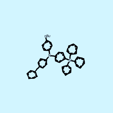 CCCCc1ccc(N(c2ccc(-c3ccccc3)cc2)c2ccc([Si](c3ccccc3)(c3ccccc3)c3ccccc3)cc2)cc1